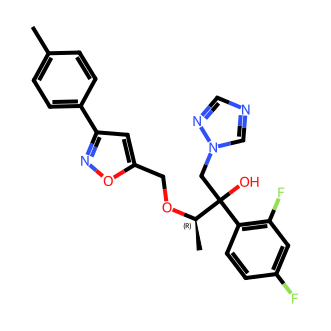 Cc1ccc(-c2cc(CO[C@H](C)C(O)(Cn3cncn3)c3ccc(F)cc3F)on2)cc1